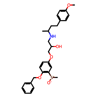 COc1ccc(CCC(C)NCC(O)COc2ccc(OCc3ccccc3)c([S+](C)[O-])c2)cc1